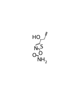 C#CCC(O)c1cnc(OC(N)=O)s1